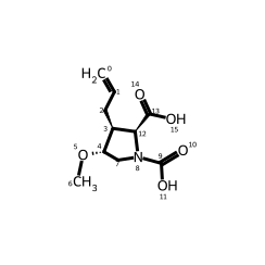 C=CC[C@@H]1[C@@H](OC)CN(C(=O)O)[C@@H]1C(=O)O